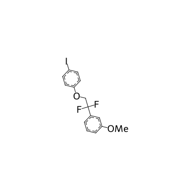 COc1cccc(C(F)(F)COc2ccc(I)cc2)c1